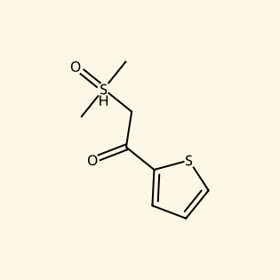 C[SH](C)(=O)CC(=O)c1cccs1